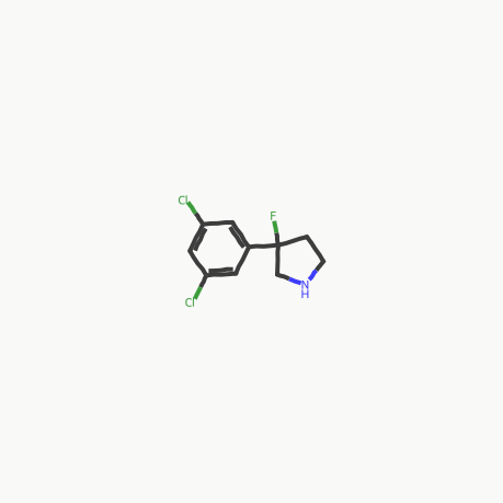 FC1(c2cc(Cl)cc(Cl)c2)CCNC1